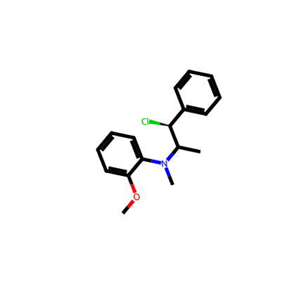 COc1ccccc1N(C)C(C)[C@@H](Cl)c1ccccc1